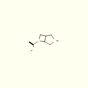 CC(=O)N1CC2CN(C(=O)OC(C)(C)C)C2C1